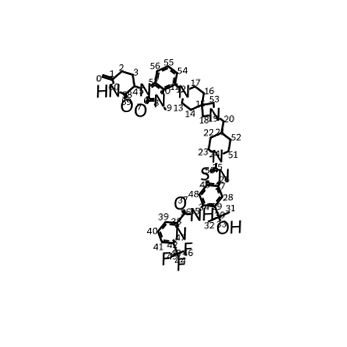 C=C1CCC(n2c(=O)n(C)c3c(N4CCC5(CC4)CN(CC4CCN(c6nc7cc(C(C)(C)O)c(NC(=O)c8cccc(C(F)(F)F)n8)cc7s6)CC4)C5)cccc32)C(=O)N1